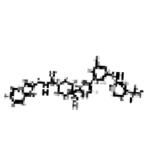 Cc1cc(Nc2nccc(C(F)(F)F)n2)cc(-c2cnc(C3(O)CCC(C(=O)NCc4cn5ccccc5n4)CC3)s2)c1